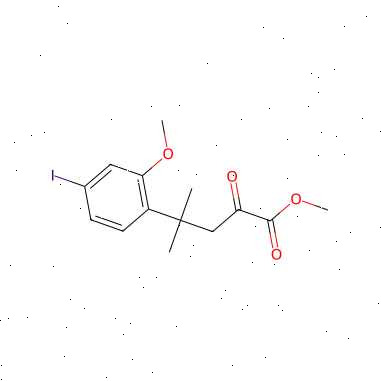 COC(=O)C(=O)CC(C)(C)c1ccc(I)cc1OC